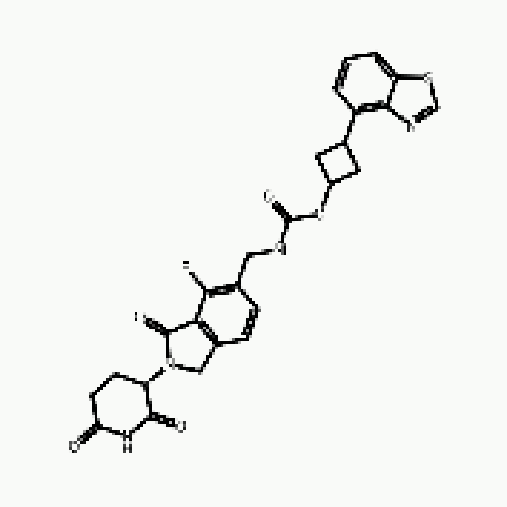 O=C1CC[C@@H](N2Cc3ccc(CNC(=O)OC4CC(c5cccc6scnc56)C4)c(F)c3C2=O)C(=O)N1